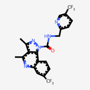 Cc1nc2cc(C(F)(F)F)ccc2c2c1c(C)nn2C(=O)NCc1ccc(C(F)(F)F)cn1